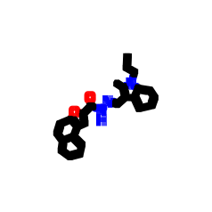 C=CCn1c(C)c(C=NNC(=O)c2cc3c(ccc4ccccc43)o2)c2ccccc21